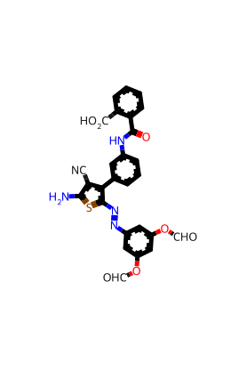 N#Cc1c(N)sc(N=Nc2cc(OC=O)cc(OC=O)c2)c1-c1cccc(NC(=O)c2ccccc2C(=O)O)c1